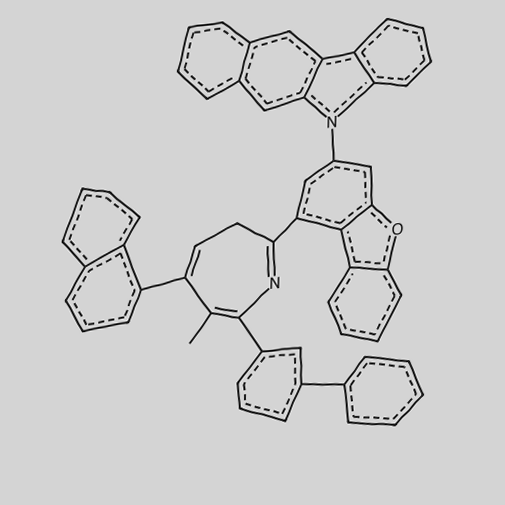 CC1=C(c2cccc(-c3ccccc3)c2)N=C(c2cc(-n3c4ccccc4c4cc5ccccc5cc43)cc3oc4ccccc4c23)CC=C1c1cccc2ccccc12